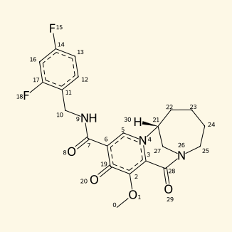 COc1c2n(cc(C(=O)NCc3ccc(F)cc3F)c1=O)[C@@H]1CCCCN(C1)C2=O